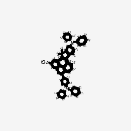 CC(C)(C)c1cc2cc(-c3ccc(N(c4ccccc4)c4ccccc4)cc3)c3cccc4c5c(c(c1)c2c34)C(C)(C)c1cc(N(c2ccccc2)c2ccccc2)ccc1-5